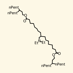 CCCCCC(CCCCC)CCOC(=O)CCCCCCCC(CCCCCCCC(=O)OCCC(CCCCC)CCCCC)CN(CC)CC